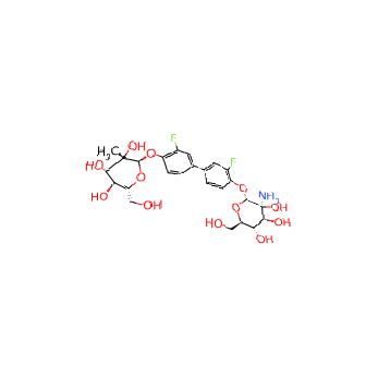 C[C@@]1(O)[C@@H](Oc2ccc(-c3ccc(O[C@H]4O[C@H](CO)[C@@H](O)[C@H](O)[C@]4(N)O)c(F)c3)cc2F)O[C@H](CO)[C@@H](O)[C@@H]1O